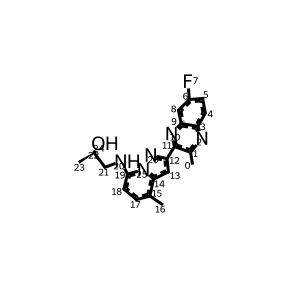 Cc1nc2ccc(F)cc2nc1-c1cc2c(C)ccc(NC[C@@H](C)O)n2n1